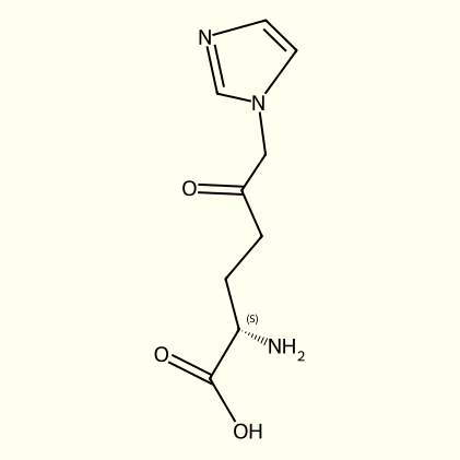 N[C@@H](CCC(=O)Cn1ccnc1)C(=O)O